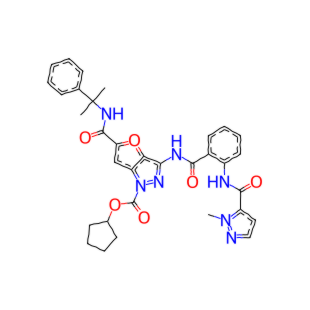 Cn1nccc1C(=O)Nc1ccccc1C(=O)Nc1nn(C(=O)OC2CCCC2)c2cc(C(=O)NC(C)(C)c3ccccc3)oc12